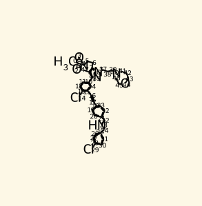 CS(=O)(=O)N1CCc2c(c(-c3ccc(Cl)c(C#Cc4ccc(CNCc5ccc(Cl)cc5)cc4)c3)nn2CCCN2CCCOCC2)C1